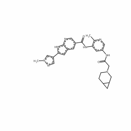 Cc1ncc(NC(=O)CN2CCC3CC3C2)cc1NC(=O)c1cnc2[nH]c(-c3cnn(C)c3)cc2c1